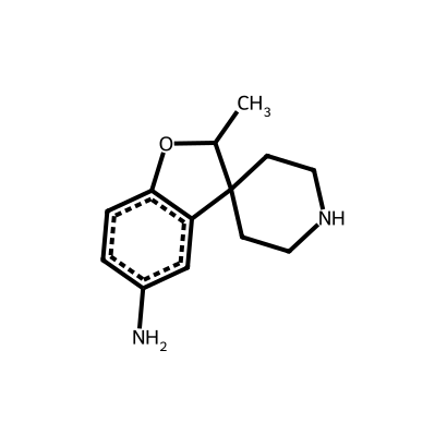 CC1Oc2ccc(N)cc2C12CCNCC2